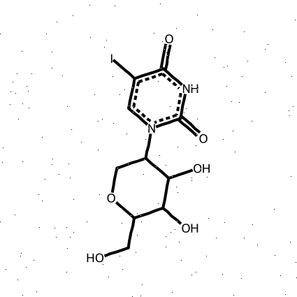 O=c1[nH]c(=O)n(C2COC(CO)C(O)C2O)cc1I